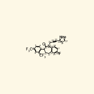 O=C1C(c2ccc(C(F)(F)F)cc2C(F)(F)F)CCc2cc(F)ccc2N1CC#Cc1nncs1